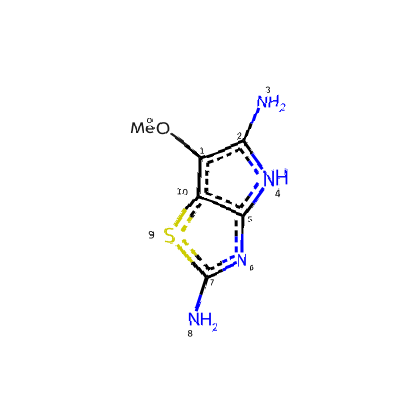 COc1c(N)[nH]c2nc(N)sc12